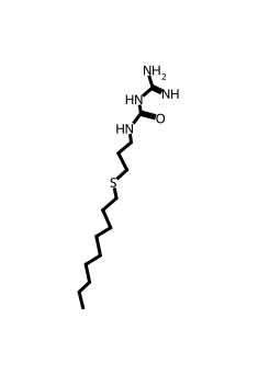 CCCCCCCCCSCCCNC(=O)NC(=N)N